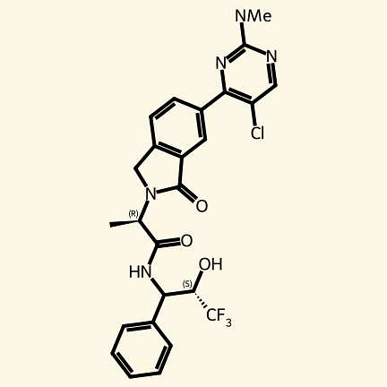 CNc1ncc(Cl)c(-c2ccc3c(c2)C(=O)N([C@H](C)C(=O)NC(c2ccccc2)[C@H](O)C(F)(F)F)C3)n1